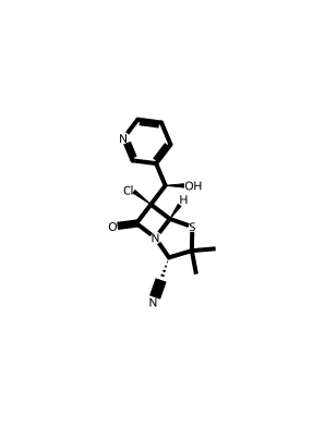 CC1(C)S[C@@H]2N(C(=O)[C@]2(Cl)[C@H](O)c2cccnc2)[C@H]1C#N